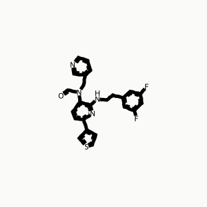 O=CN(Cc1cccnc1)c1ccc(-c2ccsc2)nc1NCCc1cc(F)cc(F)c1